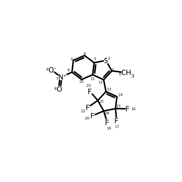 Cc1sc2ccc([N+](=O)[O-])cc2c1C1=CC(F)(F)C(F)(F)C1(F)F